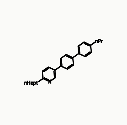 CCCCCCCc1ccc(-c2ccc(-c3ccc(CCC)cc3)cc2)cn1